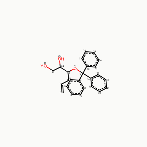 C=CCC(OC(c1ccccc1)(c1ccccc1)c1ccccc1)C(O)CO